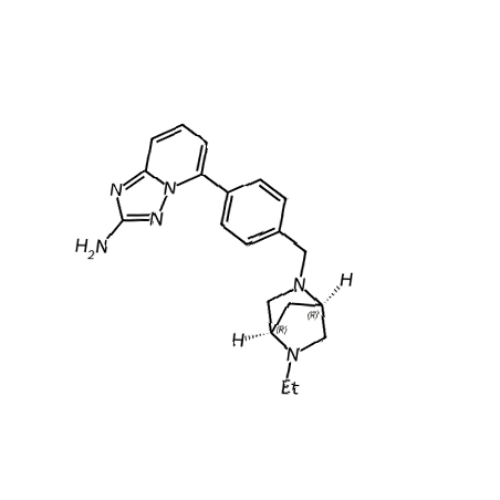 CCN1C[C@H]2C[C@@H]1CN2Cc1ccc(-c2cccc3nc(N)nn23)cc1